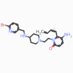 C=C/C=C\c1c(N)ccc(=O)n1CCN1CCC(NCc2ccc(Br)nc2)CC1